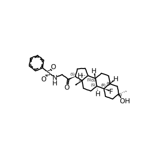 C[C@]1(O)CC[C@@]2(F)[C@H](CC[C@H]3[C@@H]4CC[C@H](C(=O)CNS(=O)(=O)c5ccccc5)[C@@]4(C)CC[C@@H]32)C1